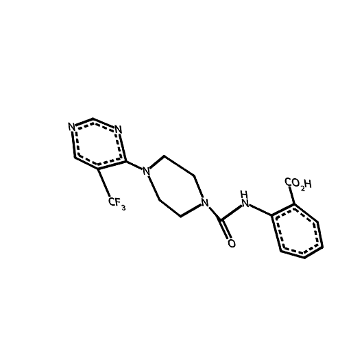 O=C(O)c1ccccc1NC(=O)N1CCN(c2ncncc2C(F)(F)F)CC1